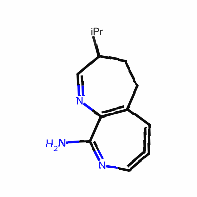 CC(C)C1C=NC2=C(C=C=CN=C2N)CC1